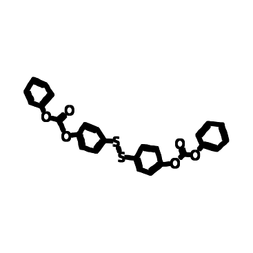 O=C(Oc1ccccc1)Oc1ccc(SSc2ccc(OC(=O)Oc3ccccc3)cc2)cc1